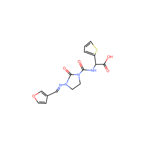 O=C(O)C(NC(=O)N1CCN(N=Cc2ccoc2)C1=O)c1cccs1